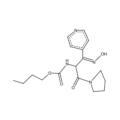 CCCCOC(=O)NC(C(=O)N1CCCC1)C(=NO)c1ccncc1